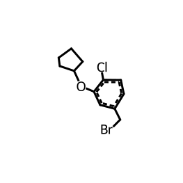 Clc1ccc(CBr)cc1OC1CCCC1